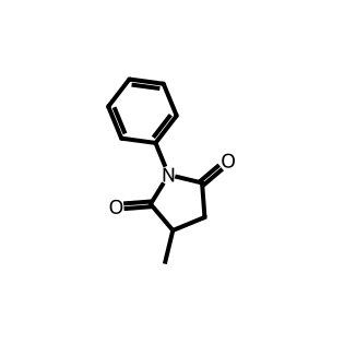 CC1CC(=O)N(c2ccccc2)C1=O